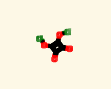 O=c1c(OCl)c(OCl)c1=O